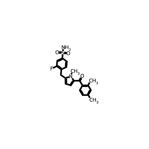 Cc1ccc(C(=O)c2ccc(Cc3ccc(S(N)(=O)=O)cc3F)n2C)c(C)c1